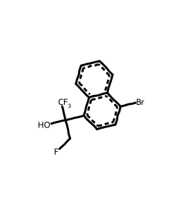 OC(CF)(c1ccc(Br)c2ccccc12)C(F)(F)F